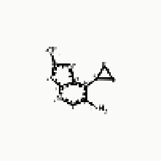 Nc1cnc2sc(C(F)(F)F)nc2c1C1CC1